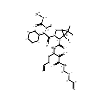 C=CCCC(NC(=O)[C@@H]1[C@@H]2C(CN1C(=O)[C@H](C1CCCCC1)N(C)C(=O)OC(C)(C)C)C2(C)C)C(=O)C(=O)NCOCC=C